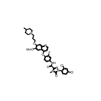 COc1cc2c(Oc3ccc(NC(=O)c4nn(-c5ccc(Cl)cc5Cl)c(=O)n4C)cc3F)ccnc2cc1OCCCN1CCC(C)CC1